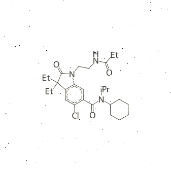 CCC(=O)NCCN1C(=O)C(CC)(CC)c2cc(Cl)c(C(=O)N(C(C)C)C3CCCCC3)cc21